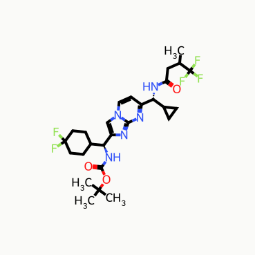 CC(CC(=O)N[C@@H](c1ccn2cc([C@@H](NC(=O)OC(C)(C)C)C3CCC(F)(F)CC3)nc2n1)C1CC1)C(F)(F)F